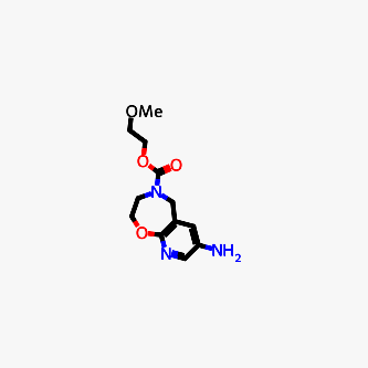 COCCOC(=O)N1CCOc2ncc(N)cc2C1